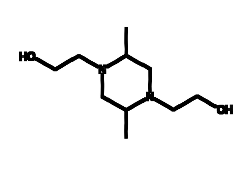 CC1CN(CCO)C(C)CN1CCO